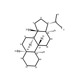 CC(I)[C@H]1CC[C@H]2[C@@H]3CC[C@@H]4CCCC[C@]4(C)[C@H]3CC[C@]12C